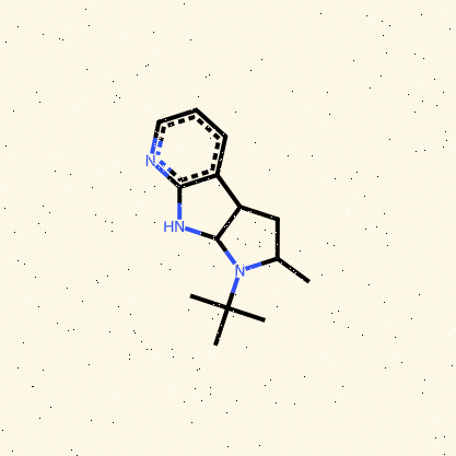 CC1CC2c3cccnc3NC2N1C(C)(C)C